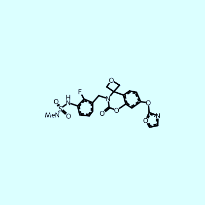 CNS(=O)(=O)Nc1cccc(CN2C(=O)Oc3cc(Oc4ncco4)ccc3C23COC3)c1F